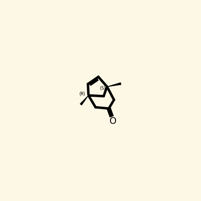 C[C@]12C=C[C@](C)(CC(=O)C1)C2